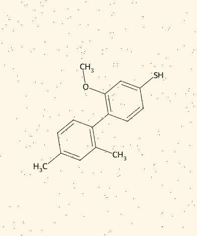 COc1cc(S)ccc1-c1ccc(C)cc1C